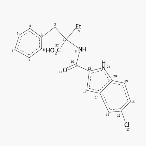 CCC(Cc1ccccc1)(NC(=O)c1cc2cc(Cl)ccc2[nH]1)C(=O)O